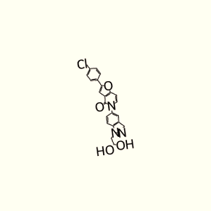 O=c1c2cc(-c3ccc(Cl)cc3)oc2ccn1-c1ccc2c(cnn2CC(O)O)c1